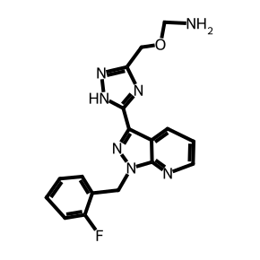 NCOCc1n[nH]c(-c2nn(Cc3ccccc3F)c3ncccc23)n1